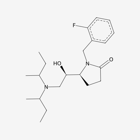 CCC(C)N(C[C@@H](O)[C@@H]1CCC(=O)N1Cc1ccccc1F)C(C)CC